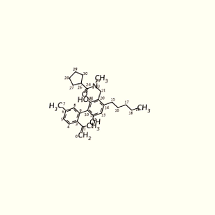 C=C(C)c1ccc(C)cc1-c1c(O)cc(CCCCC)c(CN(C)C(=O)C2CCCC2)c1O